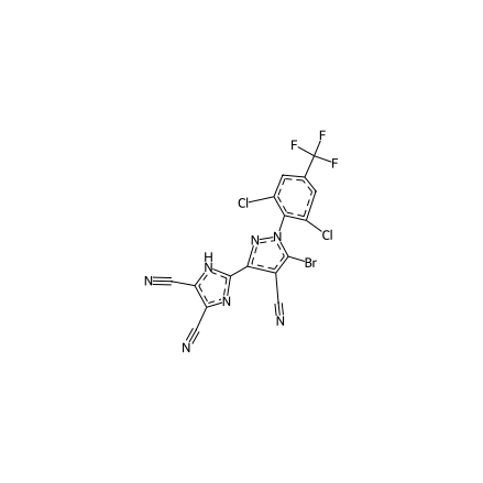 N#Cc1nc(-c2nn(-c3c(Cl)cc(C(F)(F)F)cc3Cl)c(Br)c2C#N)[nH]c1C#N